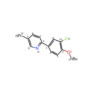 CCCCOc1ccc(-c2ccc(CCC)cn2)cc1F